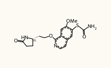 COc1cc2c(OCC[C@@H]3CCC(=O)N3)nccc2cc1SC(N)=O